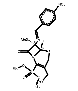 CS[C@@]1(N=Cc2ccc([N+](=O)[O-])cc2)C(=O)N2C(P(=O)(OC(C)(C)C)OC(C)(C)C)=C(COC(C)=O)CS[C@H]21